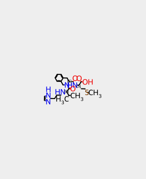 CSCC[C@H](NC(=O)[C@@H]1Cc2ccccc2CN1C(=O)[C@@H](NCCCc1ncc[nH]1)C(C)C)C(=O)O